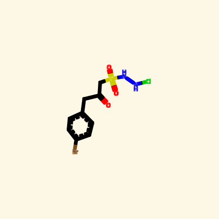 O=C(Cc1ccc(Br)cc1)CS(=O)(=O)NNCl